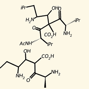 CC(=O)N[C@H](C(=O)C(C(=O)O)(C(=O)[C@@H](N)C(C)C)C(O)C(N)CC(C)C)C(C)C.CC(C)CC(N)C(O)C(C(=O)O)C(=O)[C@H](C)N